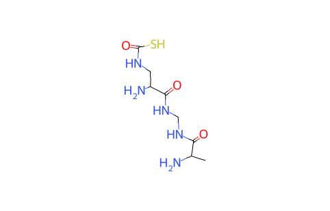 CC(N)C(=O)NCNC(=O)C(N)CNC(=O)S